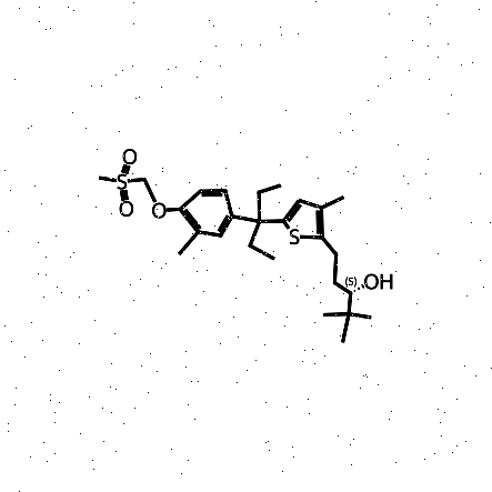 CCC(CC)(c1ccc(OCS(C)(=O)=O)c(C)c1)c1cc(C)c(CC[C@H](O)C(C)(C)C)s1